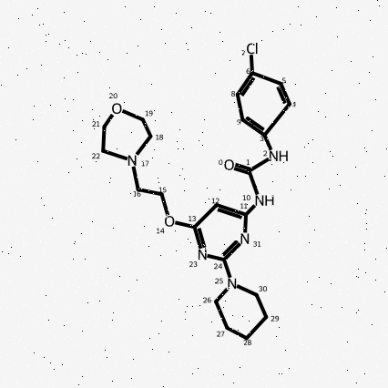 O=C(Nc1ccc(Cl)cc1)Nc1cc(OCCN2CCOCC2)nc(N2CCCCC2)n1